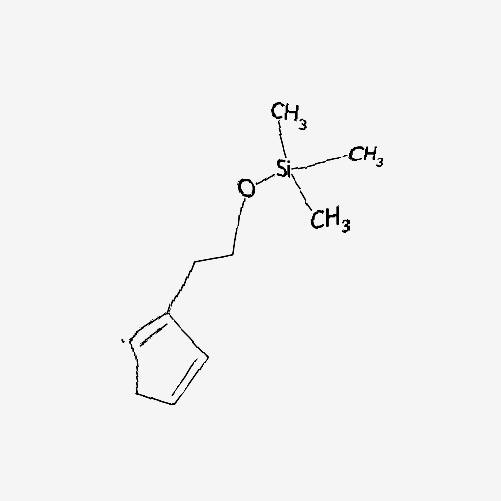 C[Si](C)(C)OCCC1=[C]CC=C1